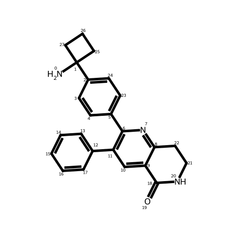 NC1(c2ccc(-c3nc4c(cc3-c3ccccc3)C(=O)NCC4)cc2)CCC1